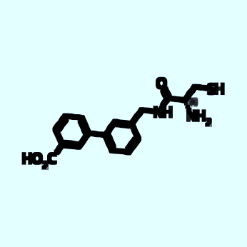 N[C@@H](CS)C(=O)NCc1cccc(-c2cccc(C(=O)O)c2)c1